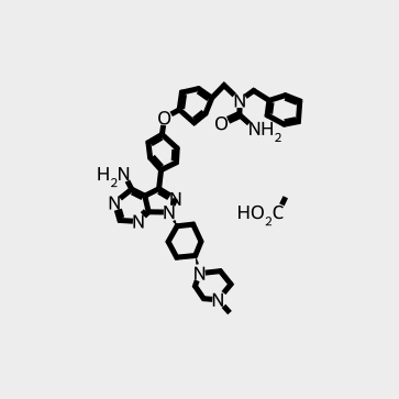 CC(=O)O.CN1CCN([C@H]2CC[C@@H](n3nc(-c4ccc(Oc5ccc(CN(Cc6ccccc6)C(N)=O)cc5)cc4)c4c(N)ncnc43)CC2)CC1